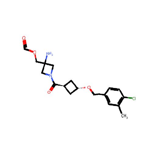 Cc1cc(CO[C@H]2C[C@H](C(=O)N3CC(N)(COC=O)C3)C2)ccc1Cl